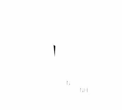 NN1CCC[C@@H](Cc2ccccc2)[C@@H]1c1ccccc1